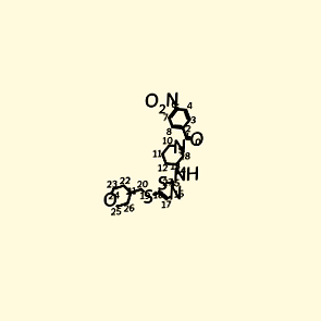 O=C(c1ccc([N+](=O)[O-])cc1)N1CCC[C@@H](Nc2ncc(SCC3CCOCC3)s2)C1